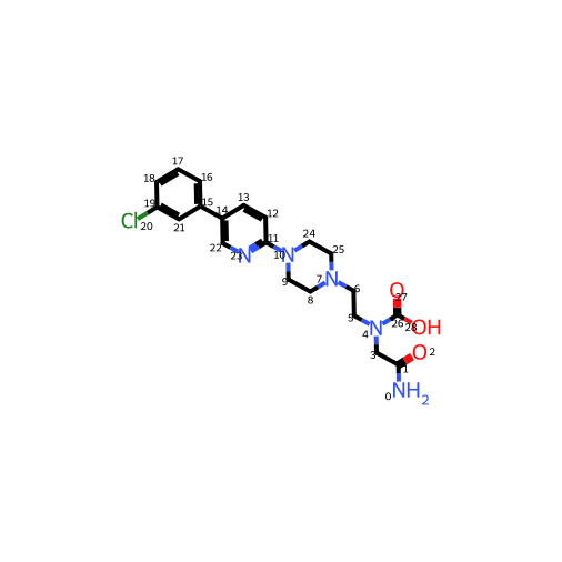 NC(=O)CN(CCN1CCN(c2ccc(-c3cccc(Cl)c3)cn2)CC1)C(=O)O